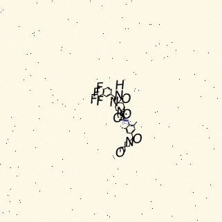 Cc1cc(C(=O)N2CC3(COC3)C2)cc(C)c1/C=C/S(=O)(=O)N1CCC2(CC1)N=C(c1ccc(F)c(C(F)(F)F)c1)NC2=O